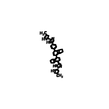 C[C@@H]1CN[C@H](c2ncc(-c3ccc(-c4ccc(-c5ccc(-c6cnc([C@@H]7C[C@H](C)CN7)[nH]6)c6c5C5CCC6C5)c5c4C4CCC5C4)cc3)[nH]2)C1